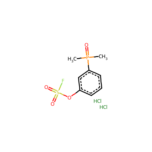 CP(C)(=O)c1cccc(OS(=O)(=O)F)c1.Cl.Cl